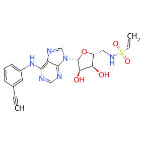 C#Cc1cccc(Nc2ncnc3c2ncn3[C@@H]2O[C@H](CNS(=O)(=O)C=C)[C@@H](O)[C@H]2O)c1